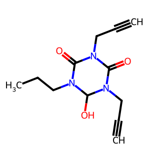 C#CCN1C(=O)N(CC#C)C(O)N(CCC)C1=O